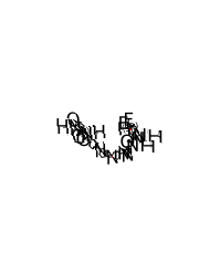 C[C@@]12Cc3[nH]nc(C(=O)Nc4cnn(C5CCN(CC6CCN(c7ccc(C(=O)N[C@@H]8CCC(=O)NC8=O)cc7)CC6)CC5)c4)c3C[C@@H]1C2(F)F